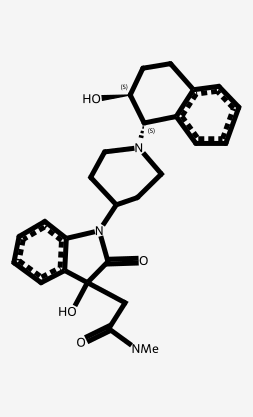 CNC(=O)CC1(O)C(=O)N(C2CCN([C@H]3c4ccccc4CC[C@@H]3O)CC2)c2ccccc21